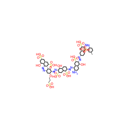 Cc1ccc(/N=N\c2c(S(=O)(=O)O)cc3cc(/N=N/c4c(S(=O)(=O)O)cc5c(N=Nc6ccc7c(O)c(N=Nc8cc(C)c(/N=N\c9cc(S(=O)(=O)O)cc%10cc(S(=O)(=O)O)cc(O)c9%10)cc8OCCCS(=O)(=O)O)c(S(=O)(=O)O)cc7c6S(=O)(=O)O)c(N)ccc5c4O)ccc3c2O)c(S(=O)(=O)O)c1